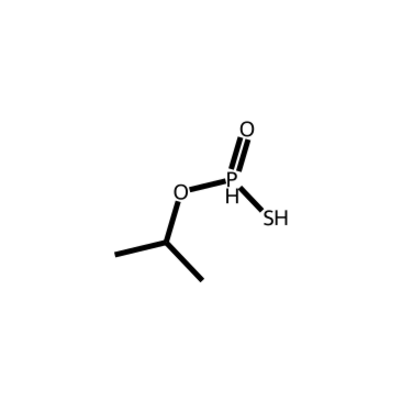 CC(C)O[PH](=O)S